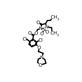 CCCC1C(=O)N(COC(=O)c2c(Cl)ccc(OCCN3CCOCC3)c2Cl)S(=O)(=O)N1CC